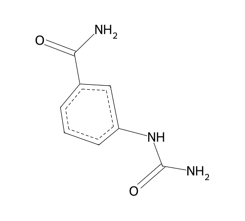 NC(=O)Nc1cccc(C(N)=O)c1